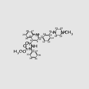 COC(=O)N(NC(=O)c1cc(-c2cccc(CN3CCN(C)CC3)c2)nc2ccccc12)c1ccccc1